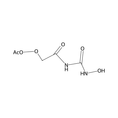 CC(=O)OOCC(=O)NC(=O)NO